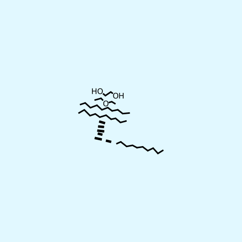 C=C.C=C.C=C.C=C.C=C.C=C.CCCCCCCCCC.CCCCCCCCCC.CCCCCCCCCC.CCOCC.OCCO